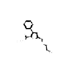 CNC(=O)c1oc(CSCCN)cc1-c1ccccc1